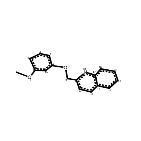 COc1cccc(OCc2ccc3ccccc3n2)c1